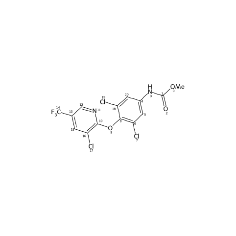 COC(=O)Nc1cc(Cl)c(Oc2ncc(C(F)(F)F)cc2Cl)c(Cl)c1